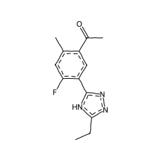 CCc1nnc(-c2cc(C(C)=O)c(C)cc2F)[nH]1